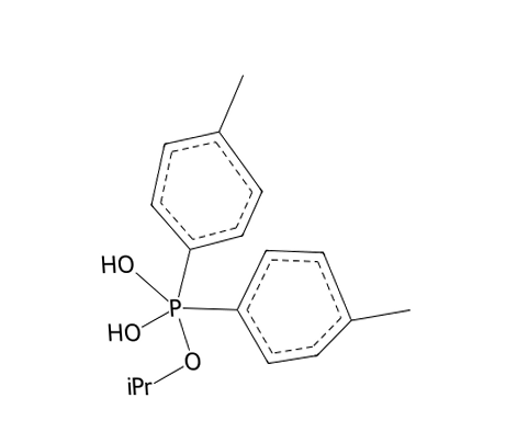 Cc1ccc(P(O)(O)(OC(C)C)c2ccc(C)cc2)cc1